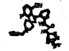 CC(C)c1nsc(NC(=O)Nc2ccccc2N2CC3(CCN(CC(C)(C)C)CC3)c3c(F)ccc(O)c32)n1